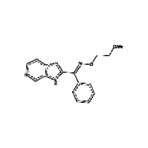 COCCON=C(c1ccccc1)c1cc2ccncc2[nH]1